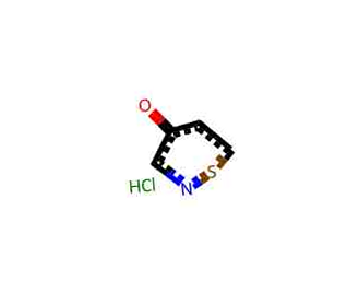 Cl.O=c1ccsnc1